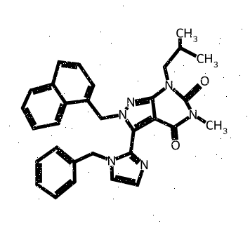 CC(C)Cn1c(=O)n(C)c(=O)c2c(-c3nccn3Cc3ccccc3)n(Cc3cccc4ccccc34)nc21